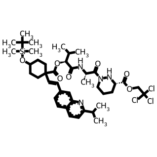 CC(C)c1ccc2ccc(/C=C/C3(C(=O)O[C@H](C(=O)N[C@@H](C)C(=O)N4CCC[C@@H](C(=O)OCC(Cl)(Cl)Cl)N4)C(C)C)CCC(O[Si](C)(C)C(C)(C)C)CC3)cc2n1